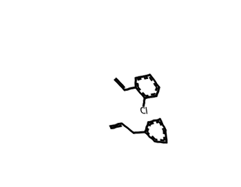 C=CCc1ccccc1.C=Cc1ccccc1Cl